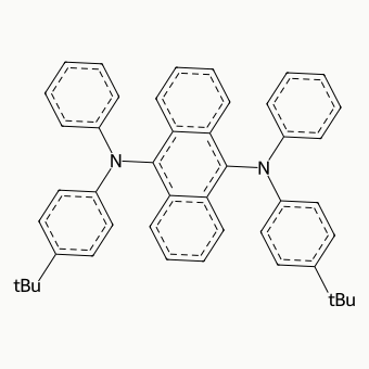 CC(C)(C)c1ccc(N(c2ccccc2)c2c3ccccc3c(N(c3ccccc3)c3ccc(C(C)(C)C)cc3)c3ccccc23)cc1